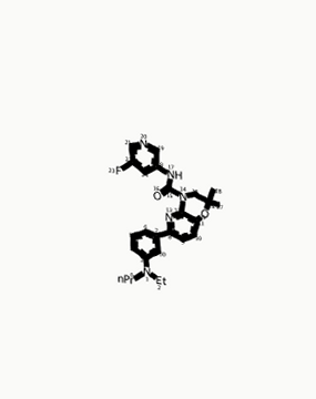 CCCN(CC)c1cccc(-c2ccc3c(n2)N(C(=O)Nc2cncc(F)c2)CC(C)(C)O3)c1